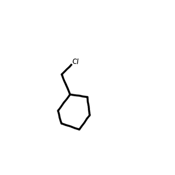 ClCC1CCCCC1